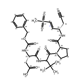 CC(C)(C)C(NC(=O)[C@H](CC(=O)O)NC(=O)OCc1ccccc1)C(=O)N1CCC[C@@H]1C(=O)N[C@H](/C=C/S(C)(=O)=O)CC#N